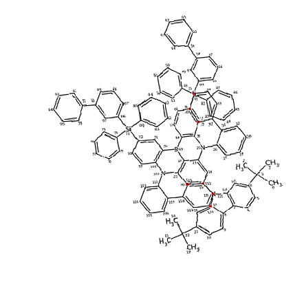 CC(C)(C)c1ccc2c3ccc(C(C)(C)C)cc3n(-c3cc4c5c(c3)N(c3ccccc3-c3ccccc3)c3cc([Si](c6ccccc6)(c6ccccc6)c6cccc(-c7ccccc7)c6)ccc3B5c3cc([Si](c5ccccc5)(c5ccccc5)c5cccc(-c6ccccc6)c5)ccc3N4c3ccccc3-c3ccccc3)c2c1